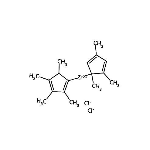 CC1=C[C](C)([Zr+2][C]2=C(C)C(C)=C(C)C2C)C(C)=C1.[Cl-].[Cl-]